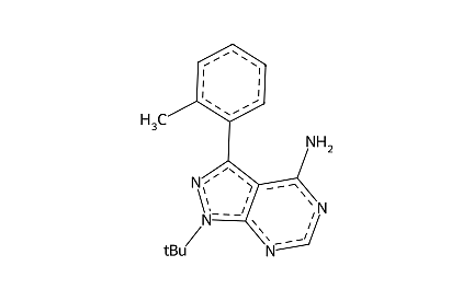 Cc1ccccc1-c1nn(C(C)(C)C)c2ncnc(N)c12